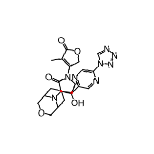 CC1=C(N2CCC3(CC4COCC(C3)N4CC(O)c3cnc(-n4cnnn4)cn3)C2=O)COC1=O